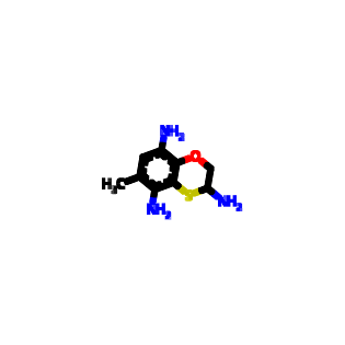 Cc1cc(N)c2c(c1N)SC(N)CO2